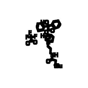 CC(C)(C)CC(=O)NCCC[N+]12CCC(CC1)[C@@H](OC(=O)C(O)(c1ccccc1)c1ccccc1)C2.O=C([O-])C(F)(F)F